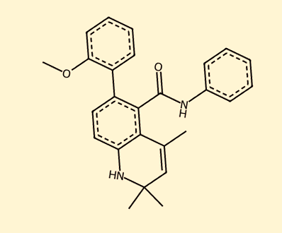 COc1ccccc1-c1ccc2c(c1C(=O)Nc1ccccc1)C(C)=CC(C)(C)N2